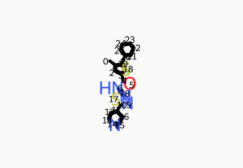 Cc1cc(C(=O)Nc2nnc(-c3ccncc3)s2)sc1-c1ccccc1